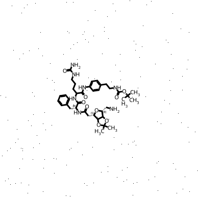 CC(C)(C)OC(=O)NCCc1ccc(NC(=O)C(CCCNC(N)=O)NC(=O)[C@@H](Cc2ccccc2)NC(=O)C[C@@H]2O[C@H](CN)C3OC(C)(C)OC32)cc1